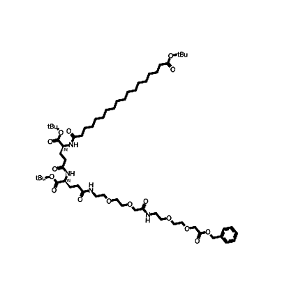 CC(C)(C)OC(=O)CCCCCCCCCCCCCCCCC(=O)N[C@@H](CCC(=O)N[C@@H](CCC(=O)NCCOCCOCC(=O)NCCOCCOCC(=O)OCc1ccccc1)C(=O)OC(C)(C)C)C(=O)OC(C)(C)C